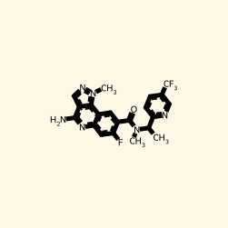 CC(c1ccc(C(F)(F)F)cn1)N(C)C(=O)c1cc2c(cc1F)nc(N)c1cnn(C)c12